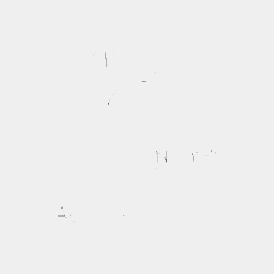 CCCn1c2ccc(Cl)cc2c2cc(C(C)=O)ccc21